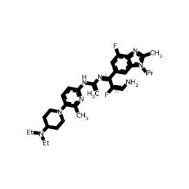 C=C(/N=C(\C(F)=C/N)c1cc(F)c2nc(C)n(C(C)C)c2c1)Nc1ccc(N2CCC(N(CC)CC)CC2)c(C)n1